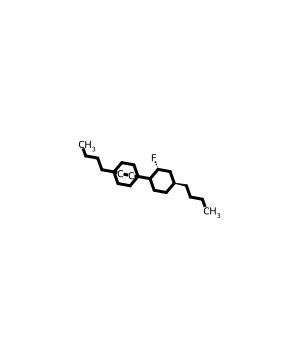 CCCC[C@H]1CCC(C23CCC(CCCC)(CC2)CC3)[C@H](F)C1